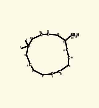 CC1(C)CCCCCCCCCC(S(=O)(=O)O)CCCC1